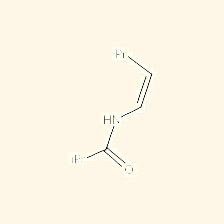 CC(C)/C=C\NC(=O)C(C)C